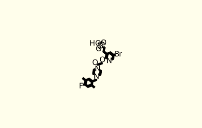 Cc1cc(CN2CCN(C(=O)COc3ncc(Br)cc3CCS(=O)(=O)O)CC2)c(C)cc1F